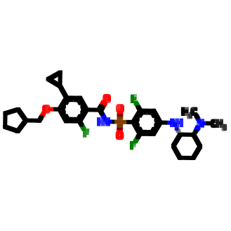 CN(C)[C@H]1CCCC[C@@H]1Nc1cc(F)c(S(=O)(=O)NC(=O)c2cc(C3CC3)c(OCC3CCCC3)cc2F)c(F)c1